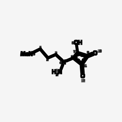 CNCCCN(N)c1c(O)c(=O)c1=O